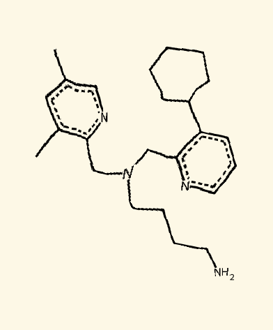 Cc1cnc(CN(CCCCN)Cc2ncccc2C2CCCCC2)c(C)c1